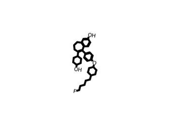 Oc1ccc2c(c1)CCCC(C1CCC(O)CC1)=C2c1ccc(OC2CCC(CCCCCF)CC2)cc1